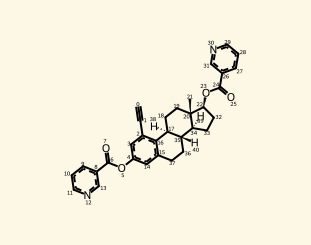 C#Cc1cc(OC(=O)c2cccnc2)cc2c1[C@H]1CC[C@]3(C)[C@@H](OC(=O)c4cccnc4)CC[C@H]3[C@@H]1CC2